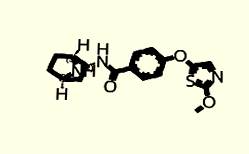 COc1ncc(Oc2ccc(C(=O)N[C@@H]3C[C@H]4CC[C@@H]3N4)cc2)s1